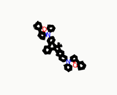 CC1(C)c2cc3cc(N(c4ccccc4)c4cccc5c4oc4ccccc45)ccc3cc2-c2c1c1ccc(N(c3ccccc3)c3cccc4c3oc3ccccc34)cc1c1ccccc21